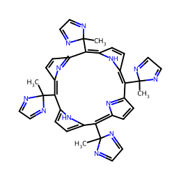 CC1(c2c3nc(c(C4(C)N=CC=N4)c4ccc([nH]4)c(C4(C)N=CC=N4)c4nc(c(C5(C)N=CC=N5)c5ccc2[nH]5)C=C4)C=C3)N=CC=N1